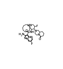 Nc1nn2cc(F)cnc2c1C(=O)NC1C(N2CCN3C(=O)CCCC3C2)C(F)CNC12CCCCCCCC2